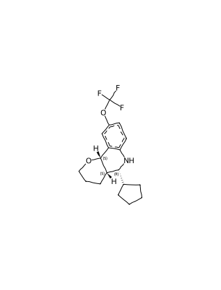 FC(F)(F)Oc1ccc2c(c1)[C@H]1OCCC[C@H]1[C@@H](C1CCCC1)N2